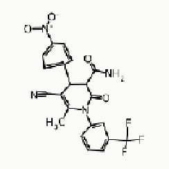 CC1=C(C#N)C(c2ccc([N+](=O)[O-])cc2)C(C(N)=O)C(=O)N1c1cccc(C(F)(F)F)c1